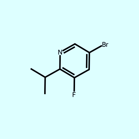 CC(C)c1ncc(Br)cc1F